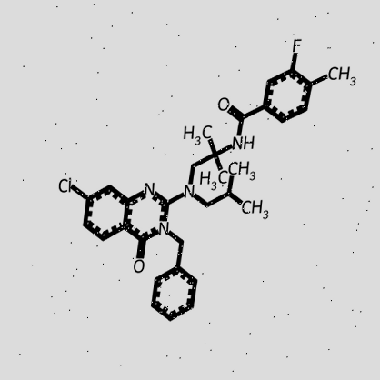 Cc1ccc(C(=O)NC(C)(C)CN(CC(C)C)c2nc3cc(Cl)ccc3c(=O)n2Cc2ccccc2)cc1F